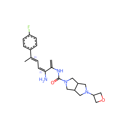 C=C(NC(=O)N1CC2CN(C3COC3)CC2C1)/C(N)=C\C=C(/C)c1ccc(F)cc1